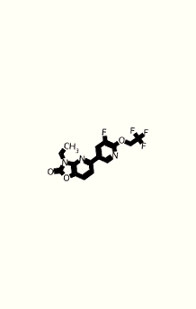 CCn1c(=O)oc2ccc(-c3cnc(OCC(F)(F)F)c(F)c3)nc21